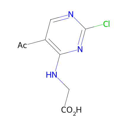 CC(=O)c1cnc(Cl)nc1NCC(=O)O